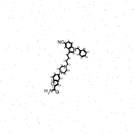 N#Cc1ccc2c(c1)c(CCCCN1CCN(c3ccc4oc(C(N)=O)cc4c3)CC1)cn2Cc1ccccc1